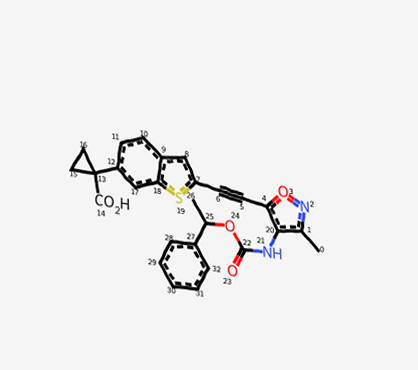 Cc1noc(C#Cc2cc3ccc(C4(C(=O)O)CC4)cc3s2)c1NC(=O)OC(C)c1ccccc1